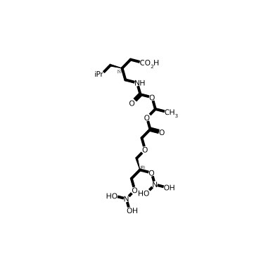 CC(C)C[C@H](CNC(=O)OC(C)OC(=O)COC[C@H](CON(O)O)ON(O)O)CC(=O)O